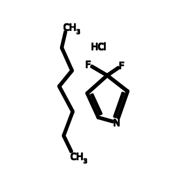 CCCCCCC.Cl.FC1(F)C=CN=C1